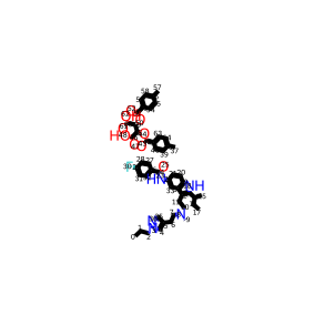 CCCn1cc(CCN(C)CCc2c(C(C)CC)[nH]c3ccc(NC(=O)c4ccc(F)cc4)cc23)cn1.Cc1ccc(C(=O)OC(C(=O)O)C(OC(=O)c2ccc(C)cc2)C(=O)O)cc1